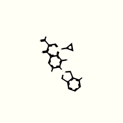 O=C(O)c1cn(C2CC2)c2c(F)c(N3Cc4cccc(Cl)c4C3)c(F)cc2c1=O